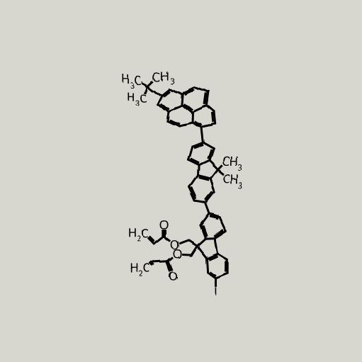 C=CC(=O)OCC1(COC(=O)C=C)c2cc(I)ccc2-c2ccc(-c3ccc4c(c3)C(C)(C)c3cc(-c5ccc6ccc7cc(C(C)(C)C)cc8ccc5c6c78)ccc3-4)cc21